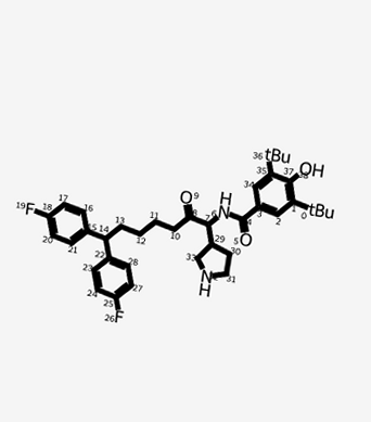 CC(C)(C)c1cc(C(=O)NC(C(=O)CCCCC(c2ccc(F)cc2)c2ccc(F)cc2)C2CCNC2)cc(C(C)(C)C)c1O